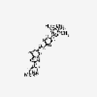 C/C=C(\C=N/NC)c1nc2cc(OCc3ccc(B4OC(C)(C)C(C)(C)O4)cn3)ccc2o1